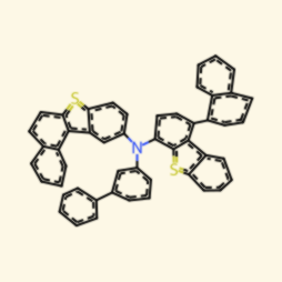 c1ccc(-c2cccc(N(c3ccc4sc5ccc6ccccc6c5c4c3)c3ccc(-c4cccc5ccccc45)c4c3sc3ccccc34)c2)cc1